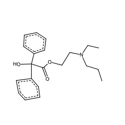 CCCN(CC)CCOC(=O)C(O)(c1ccccc1)c1ccccc1